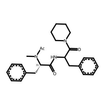 CC(=O)N(C)[C@@H](Cc1ccccc1)C(=O)NC(Cc1ccccc1)C(=O)N1CCCCC1